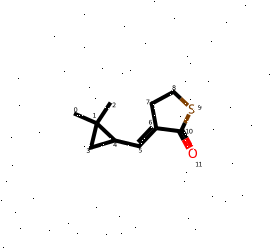 CC1(C)CC1C=C1CCSC1=O